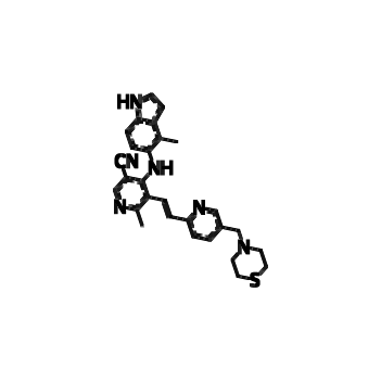 Cc1ncc(C#N)c(Nc2ccc3[nH]ccc3c2C)c1C=Cc1ccc(CN2CCSCC2)cn1